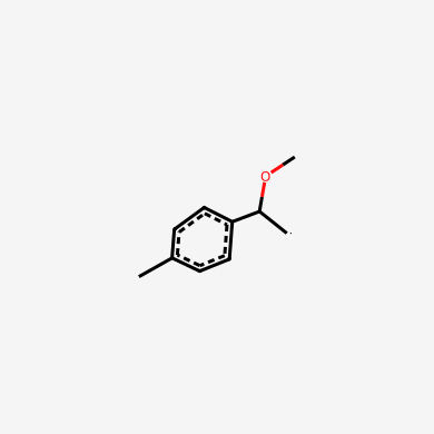 [CH2]C(OC)c1ccc(C)cc1